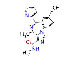 C#Cc1ccc2c(c1)C(c1ccccn1)=N[C@H](C)c1c(C(=O)NC)ncn1-2